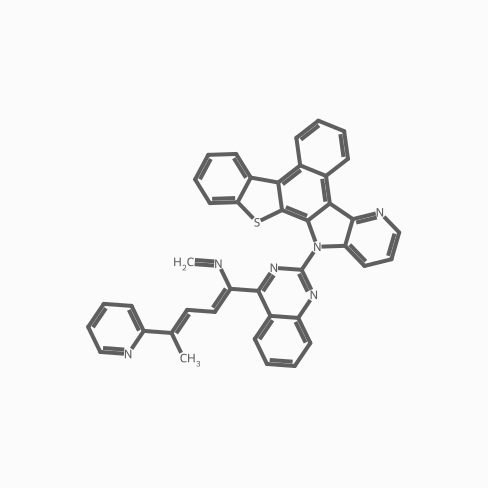 C=N/C(=C\C=C(/C)c1ccccn1)c1nc(-n2c3cccnc3c3c4ccccc4c4c5ccccc5sc4c32)nc2ccccc12